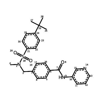 CN(Cc1ccc(C(=O)Nc2cccnc2)cc1)S(=O)(=O)c1ccc(C(C)(C)C)cc1